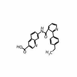 CCc1ccc(-c2ncccc2C(=O)Nc2ccc3cc(C(=O)O)cnc3c2)cc1